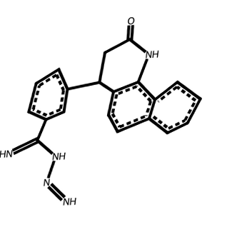 N=NNC(=N)c1cccc(C2CC(=O)Nc3c2ccc2ccccc32)c1